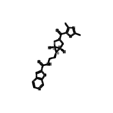 Cc1nc(C)c(C(=O)N2C[C@@H]3[C@@H](CCNC(=O)c4cc5ccncc5o4)[C@@H]3C2)o1